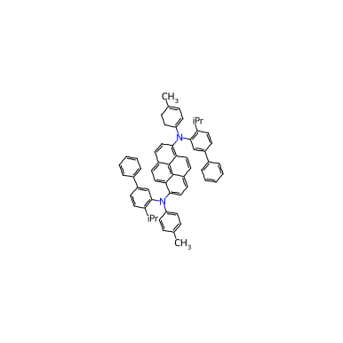 CC1=CC=C(N(c2cc(-c3ccccc3)ccc2C(C)C)c2ccc3ccc4c(N(c5ccc(C)cc5)c5cc(-c6ccccc6)ccc5C(C)C)ccc5ccc2c3c54)CC1